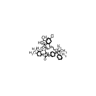 Cc1ccc(F)c(C(C)[C@@H](c2n[nH]c(=O)o2)N2CN(CCO[Si](c3ccccc3)(c3ccccc3)C(C)(C)C)c3cc(Cl)cc(C(C)O)c3S2(=O)=O)c1C